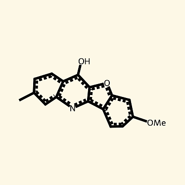 COc1ccc2c(c1)oc1c(O)c3ccc(C)cc3nc12